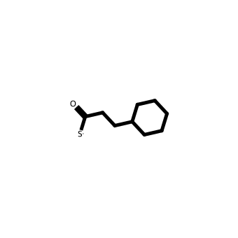 O=C([S])CCC1CCCCC1